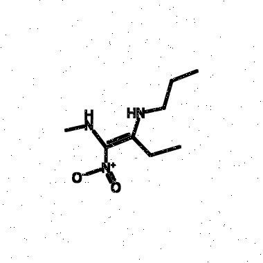 CCCN/C(CC)=C(\NC)[N+](=O)[O-]